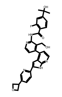 CC(C)(O)c1ccc(C(=O)Nc2nccc(-c3ccnc4[nH]c(-c5ccc(C6COC6)cn5)cc34)c2CO)c(F)c1